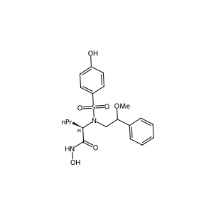 CCC[C@H](C(=O)NO)N(CC(OC)c1ccccc1)S(=O)(=O)c1ccc(O)cc1